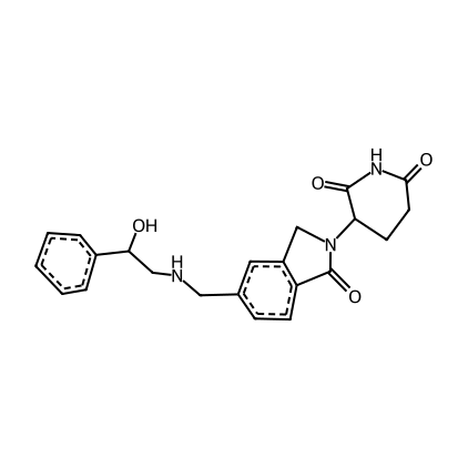 O=C1CCC(N2Cc3cc(CNCC(O)c4ccccc4)ccc3C2=O)C(=O)N1